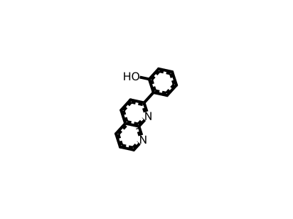 Oc1ccccc1-c1ccc2cccnc2n1